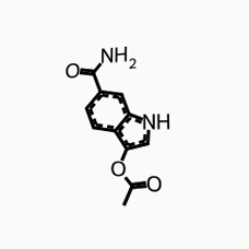 CC(=O)Oc1c[nH]c2cc(C(N)=O)ccc12